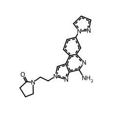 Nc1nc2cc(-n3cccn3)ccc2c2cn(CCN3CCCC3=O)nc12